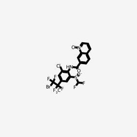 O=C(Nc1c(Cl)cc(C(F)(C(F)(F)F)C(F)(F)Br)cc1[S+]([O-])C(F)F)c1ccc2ccc[n+]([O-])c2c1